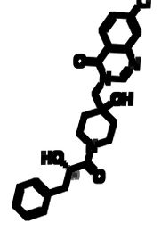 O=C([C@@H](O)Cc1ccccc1)N1CCC(O)(Cn2cnc3cc(Cl)ccc3c2=O)CC1